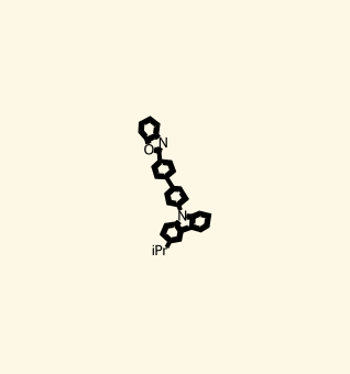 CC(C)c1ccc2c(c1)c1ccccc1n2-c1ccc(-c2ccc(-c3nc4ccccc4o3)cc2)cc1